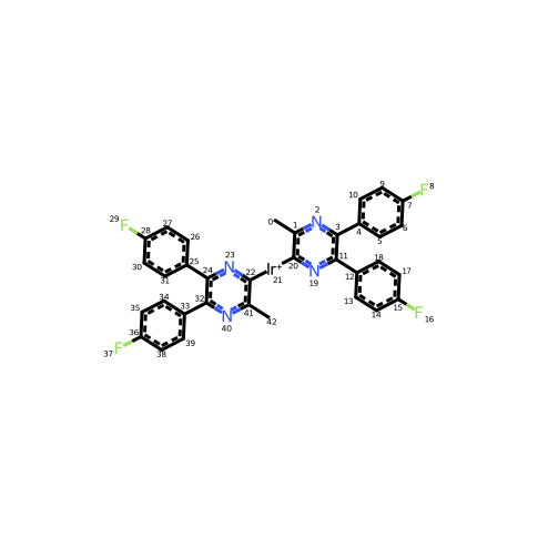 Cc1nc(-c2ccc(F)cc2)c(-c2ccc(F)cc2)n[c]1[Ir+][c]1nc(-c2ccc(F)cc2)c(-c2ccc(F)cc2)nc1C